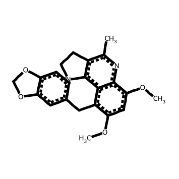 COc1cc(OC)c2nc(C)c3c(c2c1Cc1ccc2c(c1)OCO2)NCC3